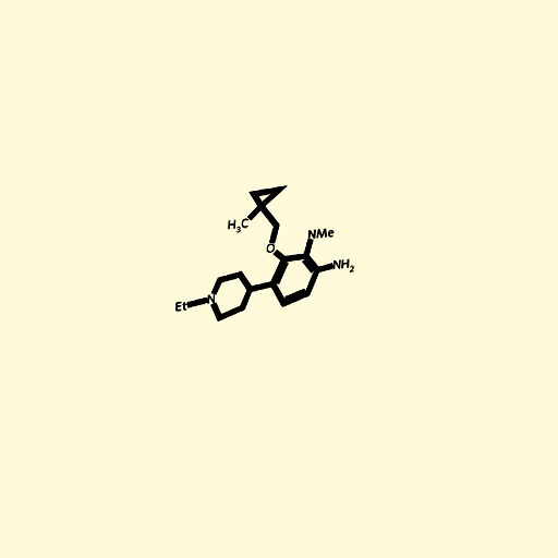 CCN1CCC(c2ccc(N)c(NC)c2OCC2(C)CC2)CC1